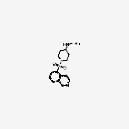 CCCCNC1CCN(S(=O)(=O)c2cccc3cnccc23)CC1